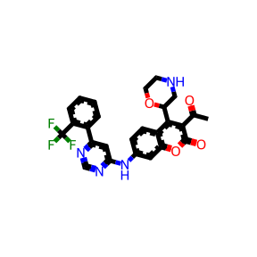 CC(=O)c1c(C2CNCCO2)c2ccc(Nc3cc(-c4ccccc4C(F)(F)F)ncn3)cc2oc1=O